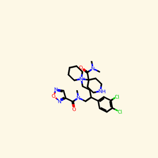 CN(C)C(=O)C1([N+]2(CCC(CN(C)C(=O)c3cnon3)c3ccc(Cl)c(Cl)c3)CCCCC2)CCNCC1